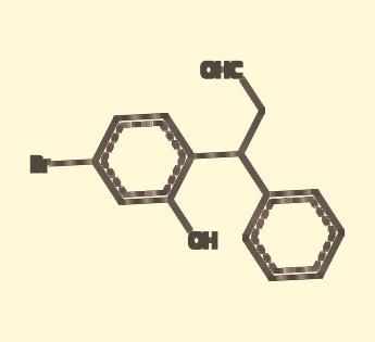 O=CCC(c1ccccc1)c1ccc(Br)cc1O